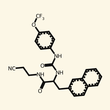 N#CCCNC(=O)C(Cc1ccc2ccccc2c1)NC(=O)Nc1ccc(OC(F)(F)F)cc1